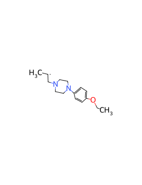 C[CH]CN1CCN(c2ccc(OCC)cc2)CC1